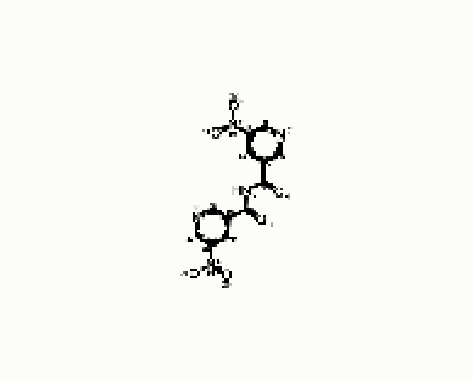 O=C(NC(=O)c1cncc([N+](=O)[O-])c1)c1cncc([N+](=O)[O-])c1